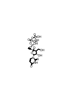 C#C[C@]1(OP(=O)(O)OP(=O)(O)OP(=O)(O)O)O[C@@H](n2ccc(=O)[nH]c2=S)[C@@H](O)C1CO